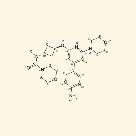 CN(C(=O)N1CCOCC1)[C@H]1C[C@H](Oc2cc(-c3cnc(N)nc3)nc(N3CCOCC3)n2)C1